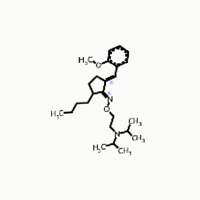 CCCCC1CCC(=C\c2ccccc2OC)/C1=N/OCCN(C(C)C)C(C)C